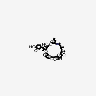 C=CCC1/C=C(\C)CC(C)CC(OC)C2OC(O)(C(=O)C(=O)N3CCCC3C(=O)OC(C(C)=CC3CCC(O)C(OC)C3)C(C)C(O)CC1=O)C(C)CC2OC